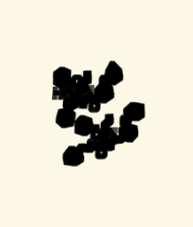 CCCC1=NC(C(=O)c2cccc(Oc3ccccc3)c2)=C(C)C(CCc2ccccc2)(C(=O)O)C1OC(=O)c1ccccc1.CCCc1nc(Cc2cccc(Oc3ccccc3)c2)c(C)c(C(=O)OCCc2ccccc2)c1OCc1ccccc1